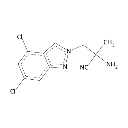 CC(N)(C#N)Cn1cc2c(Cl)cc(Cl)cc2n1